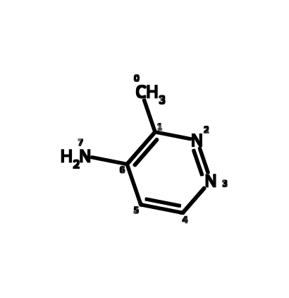 Cc1nnccc1N